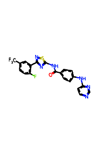 O=C(Nc1nc(-c2cc(C(F)(F)F)ccc2F)ns1)c1ccc(Nc2ccncn2)cc1